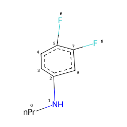 CCCNc1ccc(F)c(F)c1